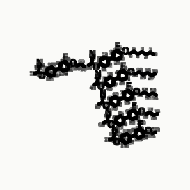 CCCCCCCOc1ccc(-c2ccc(OC(C)C#N)cc2)cc1F.CCCCCCOc1ccc(-c2ccc(OC(C)C#N)cc2)cc1F.CCCCCOc1ccc(-c2ccc(OC(C)C#N)cc2)cc1F.CCCCOc1ccc(-c2ccc(OC(C)C#N)cc2)cc1F.CCCOc1ccc(-c2ccc(OC(C)C#N)cc2)cc1F.CCOc1ccc(-c2ccc(OC(C)C#N)cc2)cc1F